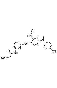 CNCC(=O)Nc1cccc(C#Cc2cnc(Nc3ccc(C#N)cc3)nc2NC2CC2)n1